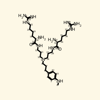 CNc1ccc(CCCN(CCCNC(=O)[C@@H](N)CCCCNC(=N)N)CCCNC(=O)[C@@H](N)CCCCNC(=N)N)cc1